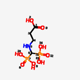 O=C(O)CCNC(P(=O)(O)O)P(=O)(O)O